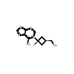 Nc1c2ncnc-2ncn1[C@]1(F)C[C@@H](CO)C1